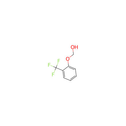 OCOc1ccccc1C(F)(F)F